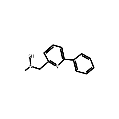 CN(S)Cc1cccc(-c2ccccc2)n1